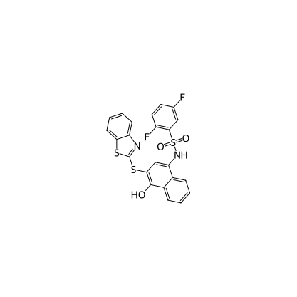 O=S(=O)(Nc1cc(Sc2nc3ccccc3s2)c(O)c2ccccc12)c1cc(F)ccc1F